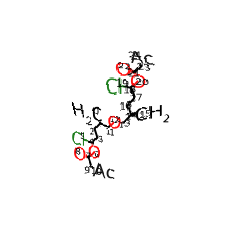 C=C(CCC(Cl)OC(=O)CC(C)=O)COCC(=C)CCC(Cl)OC(=O)CC(C)=O